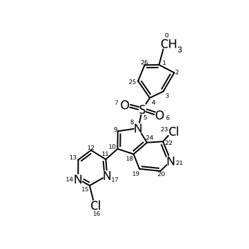 Cc1ccc(S(=O)(=O)n2cc(-c3ccnc(Cl)n3)c3ccnc(Cl)c32)cc1